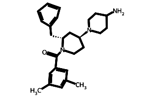 Cc1cc(C)cc(C(=O)N2CC[C@H](N3CCC(N)CC3)C[C@H]2Cc2ccccc2)c1